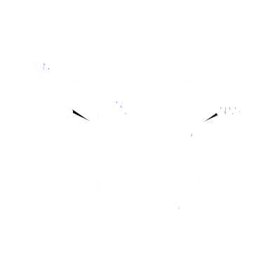 CN[C@H]1CSCCCSC[C@@H](C(=O)CN)NCC1=O